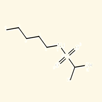 CCCCCNS(=O)(=O)C(C)O